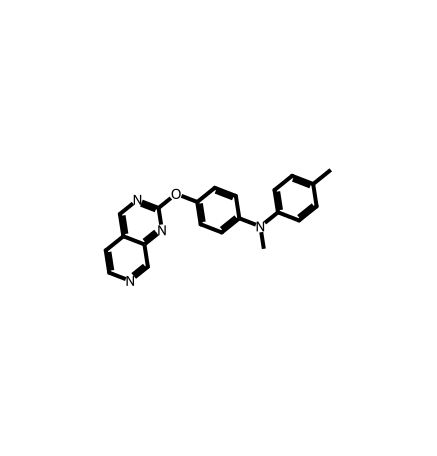 Cc1ccc(N(C)c2ccc(Oc3ncc4ccncc4n3)cc2)cc1